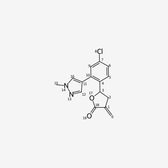 C=C1CC(c2ccc(Cl)cc2-c2cnn(C)c2)OC1=O